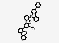 N#Cc1cc(-c2cccc3c2oc2ccccc23)cc2c1sc1c(-n3c4ccccc4c4cc(-c5ccccc5)ccc43)cccc12